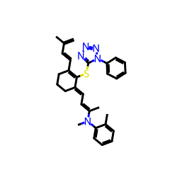 C=C(C)/C=C/C1=C(Sc2nnnn2-c2ccccc2)C(=C/C=C(\C)N(C)c2ccccc2C)/CCC1